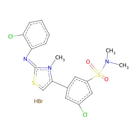 Br.CN(C)S(=O)(=O)c1cc(Cl)cc(-c2csc(=Nc3ccccc3Cl)n2C)c1